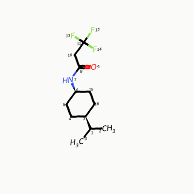 CC(C)[C@H]1CC[C@@H](NC(=O)CC(F)(F)F)CC1